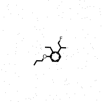 [CH2]C(CF)c1cccc(OCCC)c1CC